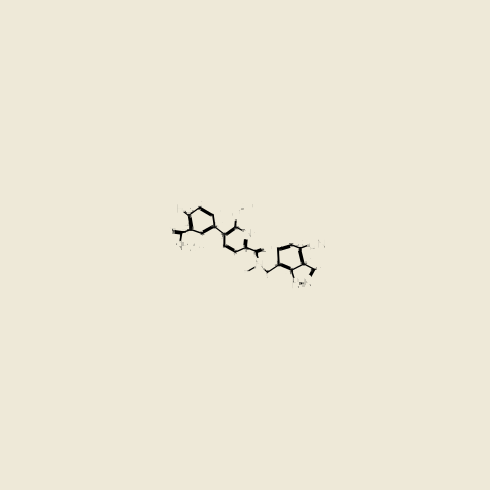 CCOc1nc(C(=O)N(C)Cc2ccc(C#N)c3cn[nH]c23)ccc1-c1ccc(F)c(C(=O)NC)c1